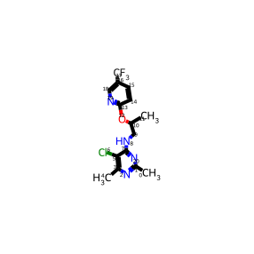 Cc1nc(C)c(Cl)c(NCC(C)Oc2ccc(C(F)(F)F)cn2)n1